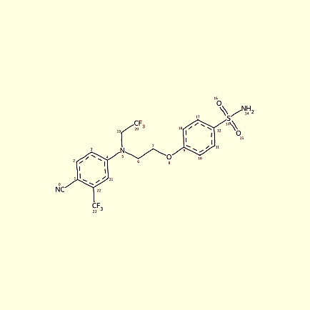 N#Cc1ccc(N(CCOc2ccc(S(N)(=O)=O)cc2)CC(F)(F)F)cc1C(F)(F)F